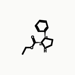 CCOC(=O)[C@H]1NCC[C@H]1c1ccccc1